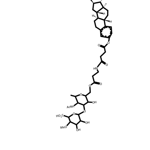 COC1C(C(=O)O)OC(OC2C(O)C(COC(=O)CCNC(=O)CCC(=O)Oc3ccc4c(c3)CC[C@@H]3[C@@H]4CC[C@]4(C)[C@@H](O)[C@H](O)C[C@@H]34)OC(C)C2NC(C)=O)C(O)C1O